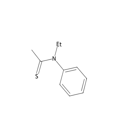 CCN(C(C)=S)c1ccccc1